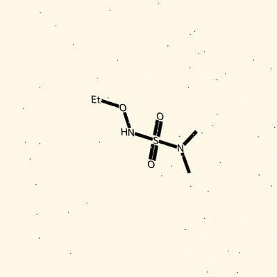 CCONS(=O)(=O)N(C)C